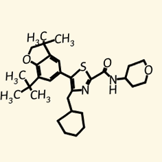 CC(C)(C)c1cc(-c2sc(C(=O)NC3CCOCC3)nc2CC2CCCCC2)cc2c1OCC2(C)C